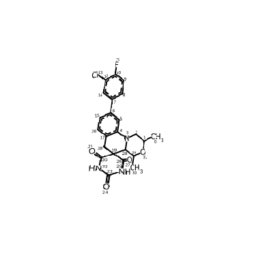 CC1CN2c3cc(-c4ccc(F)c(Cl)c4)ccc3CC3(C(=O)NC(=O)NC3=O)C2C(C)O1